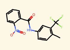 Cc1ccc(NC(=O)c2ccccc2[N+](=O)[O-])cc1C(F)(F)F